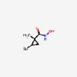 CCC(C)C1CC1(C)C(=O)NO